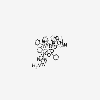 CC(C)N(C(C)C)P(OCCC#N)OC(OC(=O)c1ccccc1)[C@H]1O[C@@H](n2cnc3c(N)ncnc32)C[C@@H]1NC(c1ccccc1)(c1ccccc1)c1ccccc1